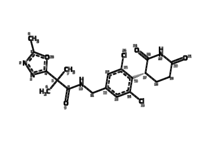 Cc1nnc(C(C)(C)C(=O)NCc2cc(Cl)c([C@H]3CCC(=O)NC3=O)c(Cl)c2)o1